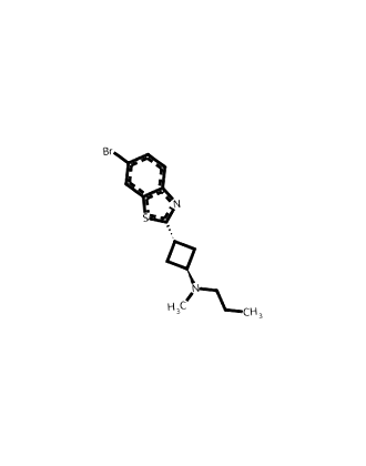 CCCN(C)[C@H]1C[C@H](c2nc3ccc(Br)cc3s2)C1